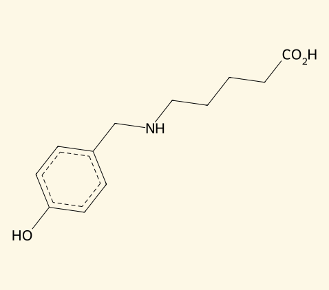 O=C(O)CCCCNCc1ccc(O)cc1